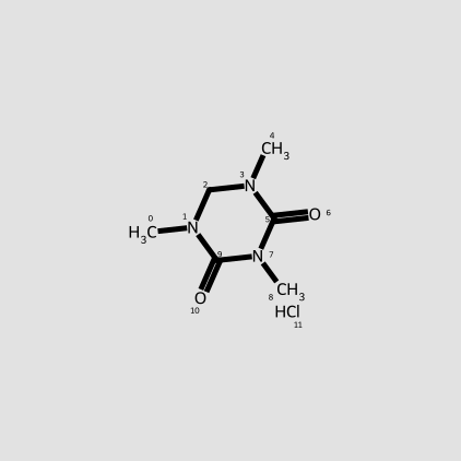 CN1CN(C)C(=O)N(C)C1=O.Cl